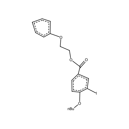 CCCCOc1ccc(C(=O)OCCOc2ccccc2)cc1I